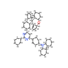 c1ccc(-c2nc(-c3ccc(-n4c5ccccc5c5ccccc54)cc3)cc(-c3ccc4c(c3)C3(c5ccccc5Oc5ccccc53)c3ccccc3-4)n2)cc1